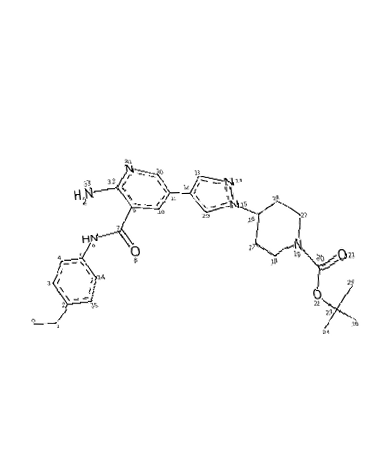 CCc1ccc(NC(=O)c2cc(-c3cnn(C4CCN(C(=O)OC(C)(C)C)CC4)c3)cnc2N)cc1